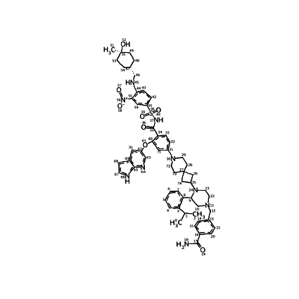 CC(C)c1ccccc1C1CN(Cc2ccc(C(N)=O)cc2)CCN1C1CC2(CCN(c3ccc(C(=O)NS(=O)(=O)c4ccc(NC[C@H]5CC[C@](C)(O)CC5)c([N+](=O)[O-])c4)c(Oc4cnc5[nH]ccc5c4)c3)CC2)C1